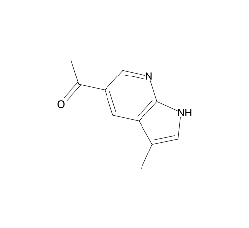 CC(=O)c1cnc2[nH]cc(C)c2c1